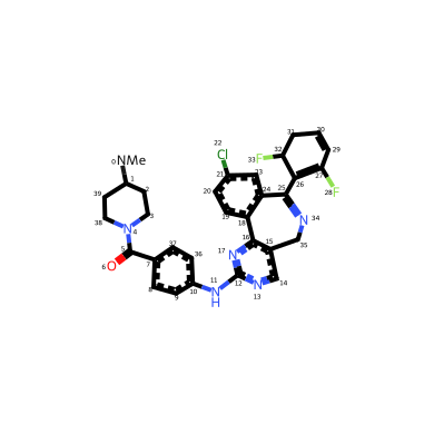 CNC1CCN(C(=O)c2ccc(Nc3ncc4c(n3)-c3ccc(Cl)cc3C(C3=C(F)C=CCC3F)=NC4)cc2)CC1